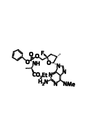 CCOC(=O)[C@@H](C)N[P@](=O)(OC[C@]1(F)C[C@H](C)[C@H](n2cnc3c(NC)nc(N)nc32)O1)Oc1ccccc1